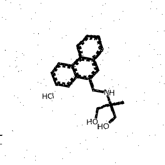 CC(CO)(CO)NCc1cc2ccccc2c2ccccc12.Cl